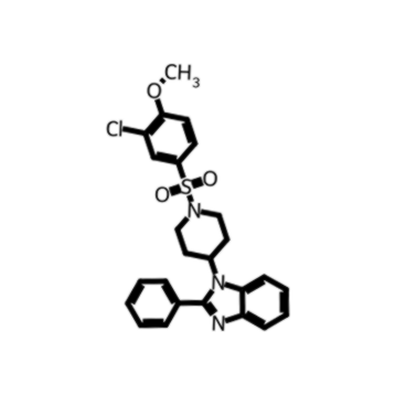 COc1ccc(S(=O)(=O)N2CCC(n3c(-c4ccccc4)nc4ccccc43)CC2)cc1Cl